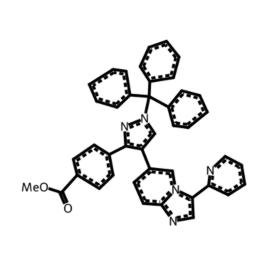 COC(=O)c1ccc(-c2nn(C(c3ccccc3)(c3ccccc3)c3ccccc3)cc2-c2ccc3ncc(-c4ccccn4)n3c2)cc1